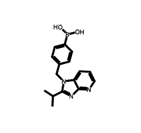 CC(C)c1nc2ncccc2n1Cc1ccc(B(O)O)cc1